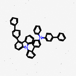 c1ccc(-c2ccc(-c3cccc4c3c3ccccc3n4-c3ccccc3-c3ccc(N(c4ccccc4)c4ccc(-c5ccccc5)cc4)cc3)cc2)cc1